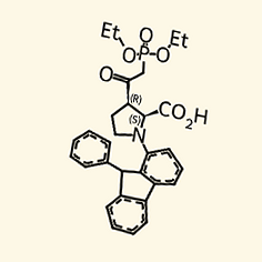 CCOP(=O)(CC(=O)[C@@H]1CCN(c2cccc3c2C(c2ccccc2)c2ccccc2-3)[C@@H]1C(=O)O)OCC